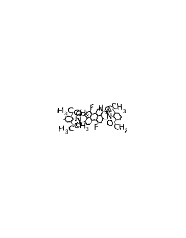 C=Cc1cccc(C(C)C)c1N1C(=O)c2ccc3c4c(F)cc5c6c(ccc(c7c(F)cc(c2c37)C1=O)c64)C(=O)N(c1c(C(C)C)cccc1C(C)C)C5=O